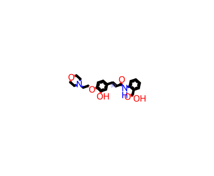 O=C(/C=C/c1ccc(OCCN2CCOCC2)c(O)c1)Nc1ccccc1C(=O)O